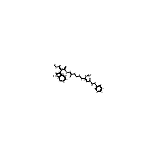 C=C(S/C=C(\C)CCCC/C(=C/NCCc1ccccc1)N=N)/C(=C/CC)c1c[nH]c2ccccc12